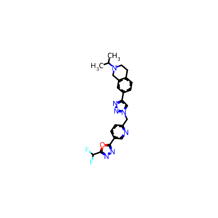 CC(C)N1CCc2ccc(-c3cn(Cc4ccc(-c5nnc(C(F)F)o5)cn4)nn3)cc2C1